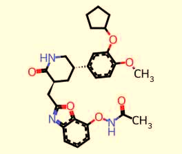 COc1ccc([C@H]2CNC(=O)[C@H](Cc3nc4cccc(ONC(C)=O)c4o3)C2)cc1OC1CCCC1